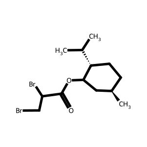 CC(C)[C@@H]1CC[C@@H](C)CC1OC(=O)C(Br)CBr